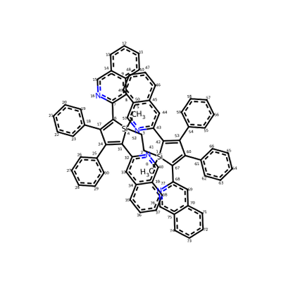 C[Si]1(CC[Si]2(C)C(c3cc4ccccc4cn3)=C(c3ccccc3)C(c3ccccc3)=C2c2cc3ccccc3cn2)C(c2cc3ccccc3cn2)=C(c2ccccc2)C(c2ccccc2)=C1c1cc2ccccc2cn1